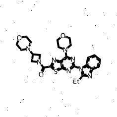 CCc1nc2ccccc2n1-c1nc(N2CCOCC2)c2nc(C(=O)N3CC(N4CCOCC4)C3)sc2n1